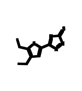 CCc1cc(C2=NC(=S)N=N2)sc1CC